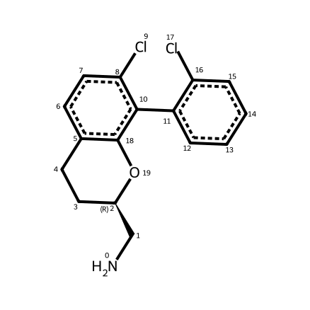 NC[C@H]1CCc2ccc(Cl)c(-c3ccccc3Cl)c2O1